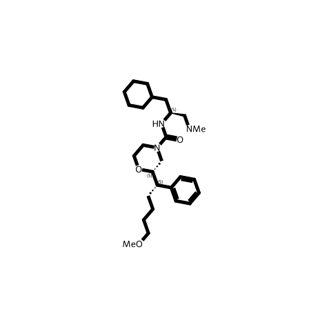 CNC[C@H](CC1CCCCC1)NC(=O)N1CCO[C@@H]([C@@H](CCCCOC)c2ccccc2)C1